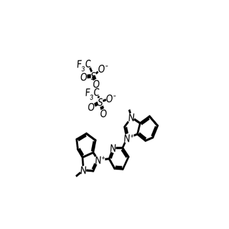 Cn1c[n+](-c2cccc(-[n+]3cn(C)c4ccccc43)n2)c2ccccc21.O=S(=O)([O-])C(F)(F)F.O=S(=O)([O-])C(F)(F)F